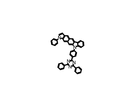 c1ccc(-c2nc(-c3ccccc3)nc(-c3ccc(-n4c5ccccc5c5cc6cc7ccn(-c8ccccc8)c7cc6cc54)cc3)n2)cc1